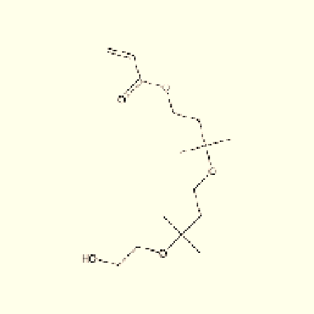 C=CC(=O)OCCC(C)(C)OCCC(C)(C)OCCO